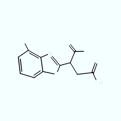 OC(=S)CC(C(O)=S)c1nc2c(F)cccc2s1